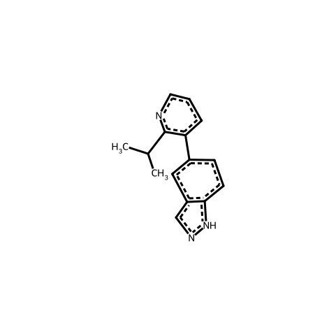 CC(C)c1ncccc1-c1ccc2[nH]ncc2c1